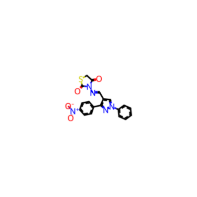 O=C1CSC(=O)N1/N=C/c1cn(-c2ccccc2)nc1-c1ccc([N+](=O)[O-])cc1